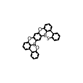 c1ccc2c(c1)OB1c3cc4c(cc3Oc3cccc-2c31)Oc1cccc2c1B4Sc1ccccc1-2